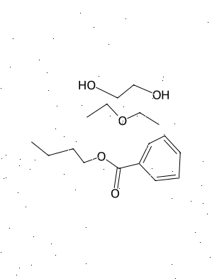 CCCCOC(=O)c1ccccc1.CCOCC.OCCO